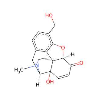 CN1CC[C@]23c4c5ccc(CO)c4O[C@H]2C(=O)C=CC3(O)[C@H]1C5